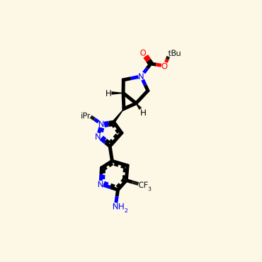 CC(C)n1nc(-c2cnc(N)c(C(F)(F)F)c2)cc1[C@H]1[C@@H]2CN(C(=O)OC(C)(C)C)C[C@@H]21